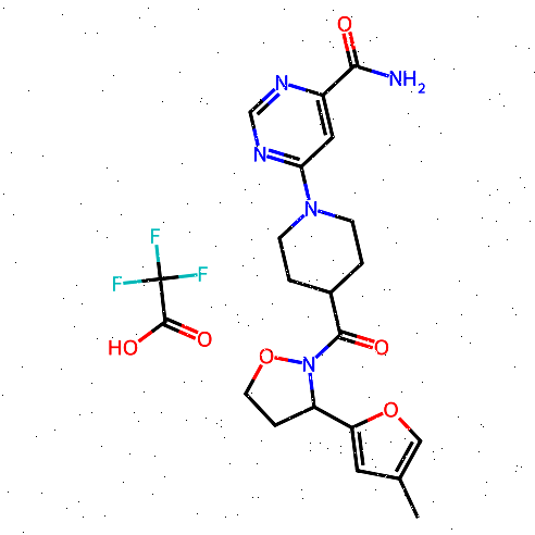 Cc1coc(C2CCON2C(=O)C2CCN(c3cc(C(N)=O)ncn3)CC2)c1.O=C(O)C(F)(F)F